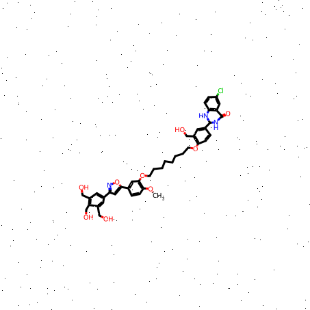 COc1ccc(-c2cc(-c3cc(CO)c(CO)c(CO)c3)no2)cc1OCCCCCCCCOc1ccc(C2NC(=O)c3cc(Cl)ccc3N2)cc1CO